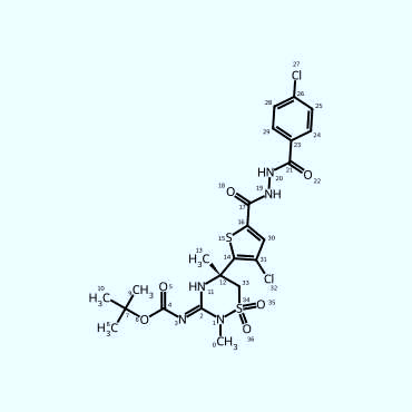 CN1/C(=N/C(=O)OC(C)(C)C)N[C@](C)(c2sc(C(=O)NNC(=O)c3ccc(Cl)cc3)cc2Cl)CS1(=O)=O